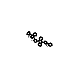 c1ccc2c(c1)oc1c3oc4ccc(-c5c6ccccc6c(-c6ccc7c(c6)sc6ccccc67)c6ccccc56)cc4c3c3ccccc3c21